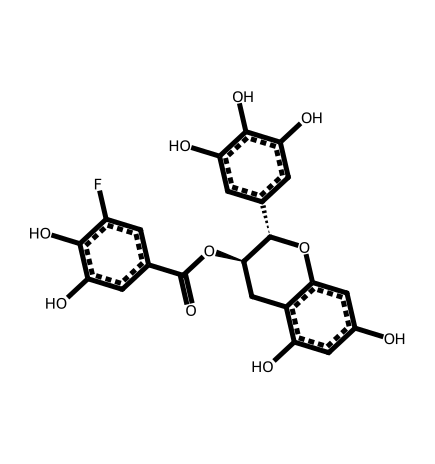 O=C(O[C@@H]1Cc2c(O)cc(O)cc2O[C@H]1c1cc(O)c(O)c(O)c1)c1cc(O)c(O)c(F)c1